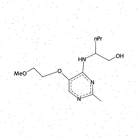 CCCC(CO)Nc1nc(C)ncc1OCCOC